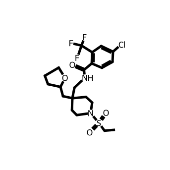 CCS(=O)(=O)N1CCC(CNC(=O)c2ccc(Cl)cc2C(F)(F)F)(CC2CCCO2)CC1